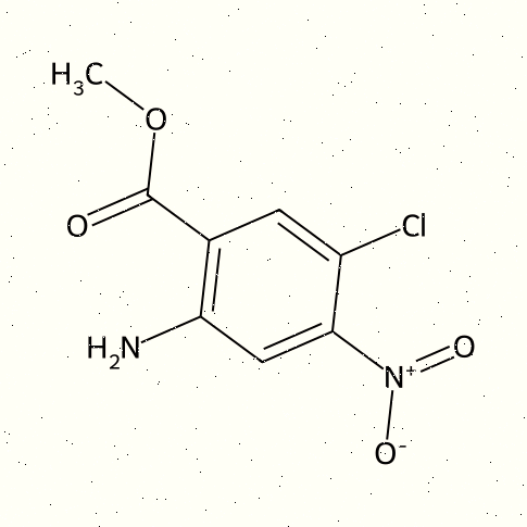 COC(=O)c1cc(Cl)c([N+](=O)[O-])cc1N